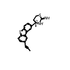 CC#Cc1ccc2sc3ccc([C@]4(C)CCSC(=N)N4)cc3c2c1